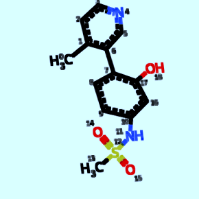 Cc1ccncc1-c1ccc(NS(C)(=O)=O)cc1O